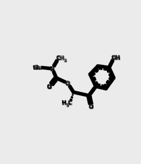 C[C@H](OC(=O)N(C)C(C)(C)C)C(=O)c1ccc(O)cc1